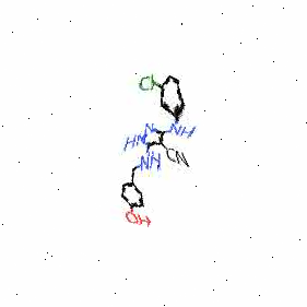 N#Cc1c(Nc2cccc(Cl)c2)n[nH]c1NCc1ccc(O)cc1